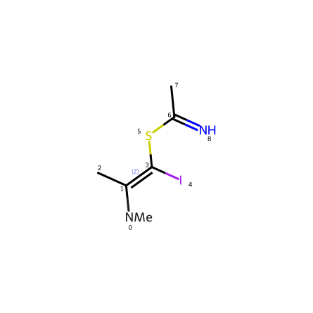 CN/C(C)=C(\I)SC(C)=N